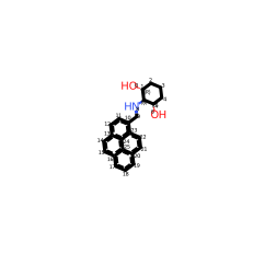 O[C@@H]1CCC[C@H](O)[C@H]1NCc1ccc2ccc3cccc4ccc1c2c34